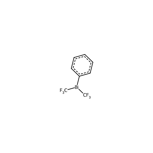 F[C](F)(F)[Bi]([c]1ccccc1)[C](F)(F)F